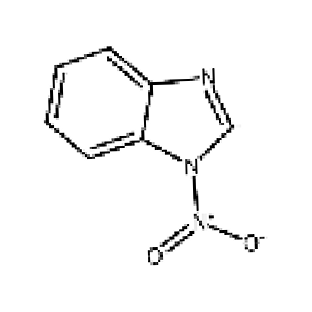 O=[N+]([O-])n1[c]nc2ccccc21